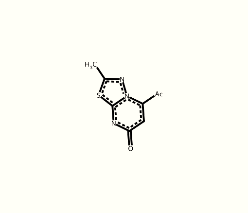 CC(=O)c1cc(=O)nc2sc(C)nn12